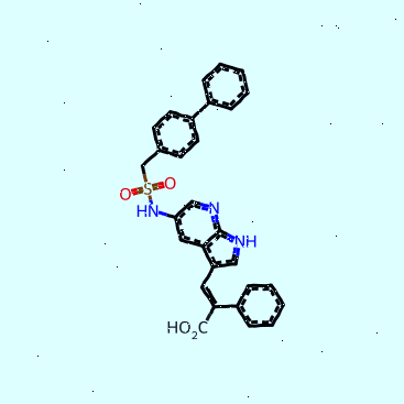 O=C(O)/C(=C/c1c[nH]c2ncc(NS(=O)(=O)Cc3ccc(-c4ccccc4)cc3)cc12)c1ccccc1